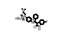 CCCCS(=O)(=O)N(CCN(C)C)c1ccc(N/C(=C2\C(=O)Nc3cc(F)ccc32)c2ccccc2)cc1